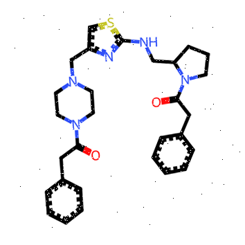 O=C(Cc1ccccc1)N1CCN(Cc2csc(NCC3CCCN3C(=O)Cc3ccccc3)n2)CC1